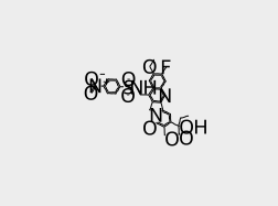 CC[C@@]1(O)C(=O)OCc2c1cc1n(c2=O)Cc2c-1nc1cc(F)c(OC)cc1c2CNS(=O)(=O)c1ccc([N+](=O)[O-])cc1